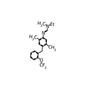 CCN(C)C=Nc1cc(C)c(Cc2ccccc2OC(F)(F)F)cc1C